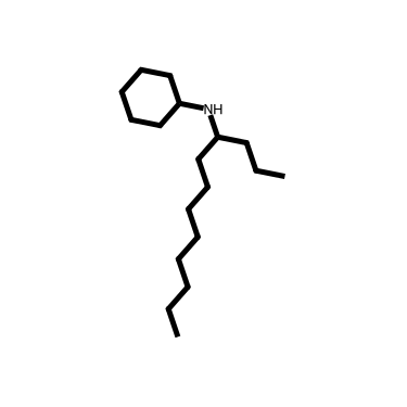 CCCCCCCCC(CCC)NC1CCCCC1